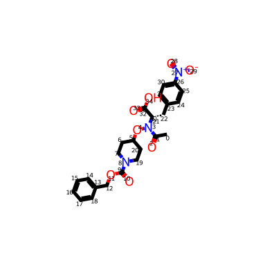 CC(=O)N(OC1CCN(C(=O)OCc2ccccc2)CC1)[C@@H](Cc1ccc([N+](=O)[O-])cc1)C(=O)O